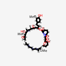 CO[C@H]1CC2CC[C@@H](C)[C@@](O)(O2)C(=O)C(=O)N2CCCCC2C(=O)OC([C@H](C)CC2CC[C@@H](O)[C@H](OC)C2)CC(=O)[C@H](C)/C=C(\C)[C@@H](O)[C@@H](OC)C(=O)[C@H](C)C[C@H](C)/C=C/C=C/C=C/1C